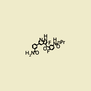 CCCC(=O)Nc1ccc(F)c(C(=O)c2c[nH]c3ncc(-c4cccc(C(N)=O)c4)cc23)c1F